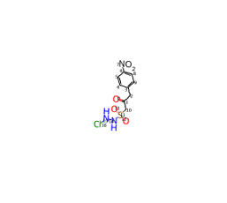 O=C(Cc1ccc([N+](=O)[O-])cc1)CS(=O)(=O)NNCl